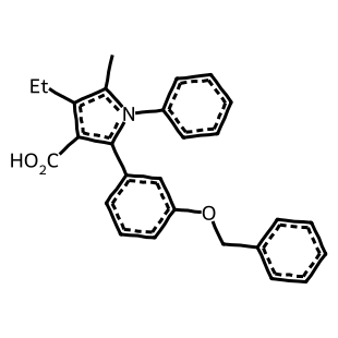 CCc1c(C(=O)O)c(-c2cccc(OCc3ccccc3)c2)n(-c2ccccc2)c1C